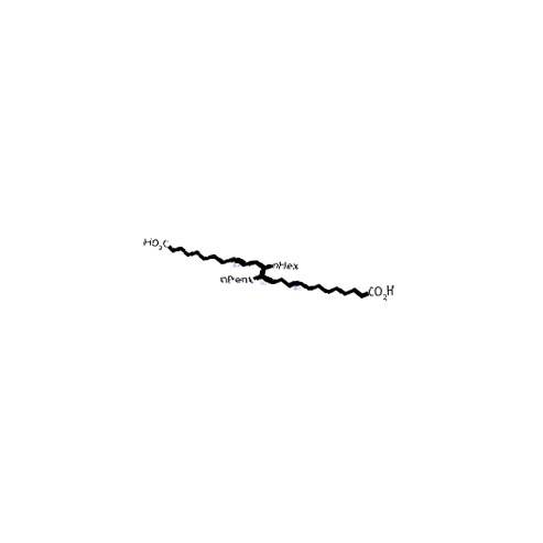 CCCCCCC(C/C=C/CCCCCCCC(=O)O)/C(=C\C/C=C/CCCCCCCC(=O)O)CCCCC